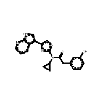 O=C(Cc1cccc(O)c1)N(c1nc(-c2c[nH]c3ncccc23)cs1)C1CC1